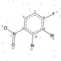 O=[N+]([O-])c1ccc(F)c(Br)c1Br